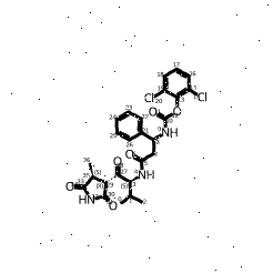 CC(C)[C@H](NC(=O)CC(NC(=O)Oc1c(Cl)cccc1Cl)c1ccccc1)C(=O)[C@@H]1C(=O)NC(=O)[C@H]1C